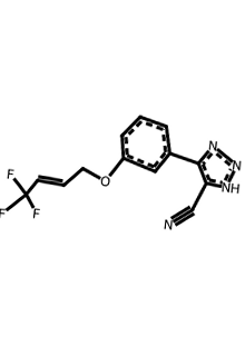 N#Cc1[nH]nnc1-c1cccc(OC/C=C/C(F)(F)F)c1